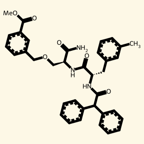 COC(=O)c1cccc(COC[C@H](NC(=O)[C@H](Cc2cccc(C)c2)NC(=O)C(c2ccccc2)c2ccccc2)C(N)=O)c1